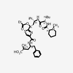 CCC(=O)O[C@H](C[C@@H](NC(=O)[C@@H](NC(=O)[C@H]1CCCCN1C)[C@@H](C)CC)C(C)C)c1nc(C(=O)N[C@@H](Cc2ccccc2)C[C@H](C)C(=O)O)cs1